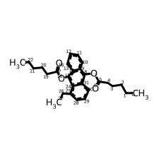 CCCCCC(=O)Oc1c2ccccc2c(OC(=O)CCCCC)c2c(CC)cccc12